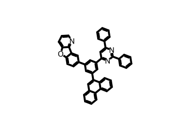 c1ccc(-c2cc(-c3cc(-c4ccc5oc6cccnc6c5c4)cc(-c4cc5ccccc5c5ccccc45)c3)nc(-c3ccccc3)n2)cc1